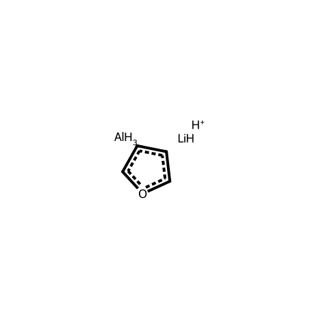 [AlH3].[H+].[LiH].c1ccoc1